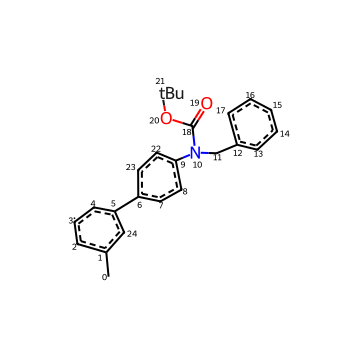 Cc1c[c]cc(-c2ccc(N(Cc3ccccc3)C(=O)OC(C)(C)C)cc2)c1